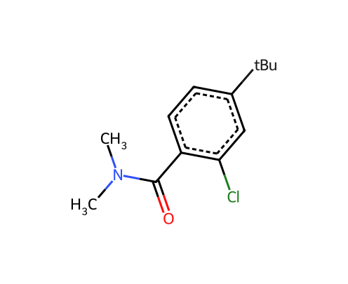 CN(C)C(=O)c1ccc(C(C)(C)C)cc1Cl